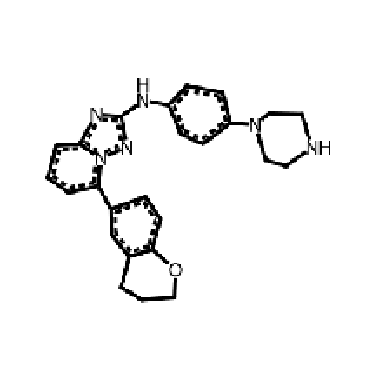 c1cc(-c2ccc3c(c2)CCCO3)n2nc(Nc3ccc(N4CCNCC4)cc3)nc2c1